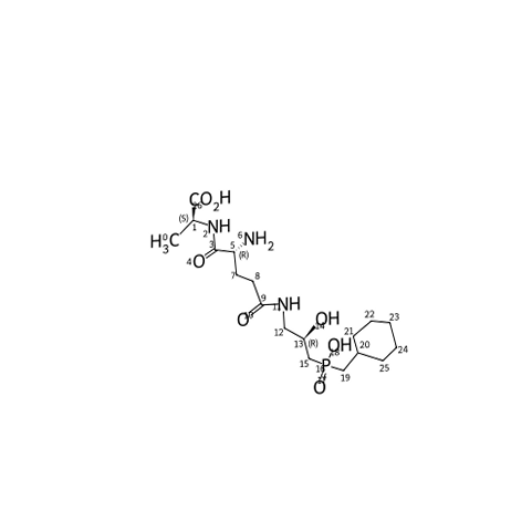 C[C@H](NC(=O)[C@H](N)CCC(=O)NC[C@@H](O)CP(=O)(O)CC1CCCCC1)C(=O)O